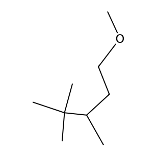 COCCC(C)C(C)(C)C